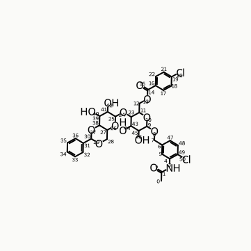 CC(=O)Nc1cc(COC2OC(COC(=O)c3ccc(Cl)cc3)C(OC3OC4COC(c5ccccc5)OC4C(O)C3O)C(O)C2O)ccc1Cl